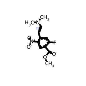 COC(=O)c1cc([N+](=O)[O-])c(/C=C/N(C)C)cc1F